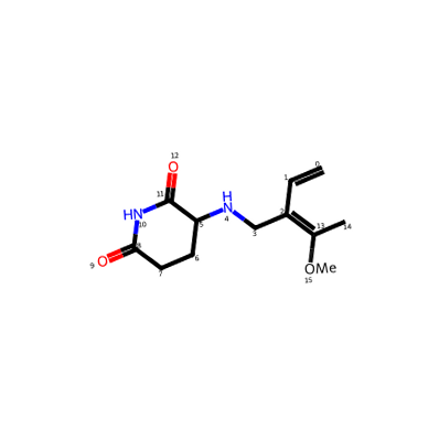 C=C/C(CNC1CCC(=O)NC1=O)=C(\C)OC